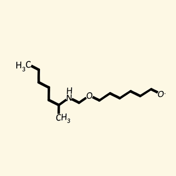 CCCCCC(C)NCOCCCCCC[O]